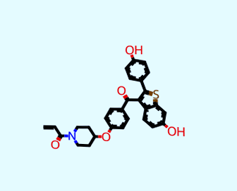 C=CC(=O)N1CCC(Oc2ccc(C(=O)c3c(-c4ccc(O)cc4)sc4cc(O)ccc34)cc2)CC1